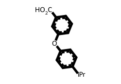 CC(C)c1ccc(Oc2cccc(C(=O)O)c2)cc1